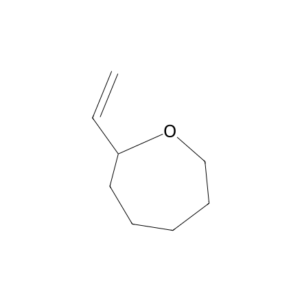 C=CC1CCCCCO1